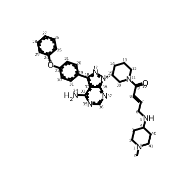 CN1CCC(NC/C=C/C(=O)N2CCC[C@@H](n3nc(-c4ccc(Oc5ccccc5)cc4)c4c(N)ncnc43)C2)CC1